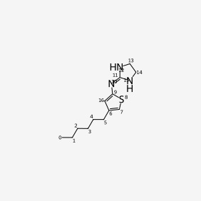 CCCCCCc1csc(N=C2NCCN2)c1